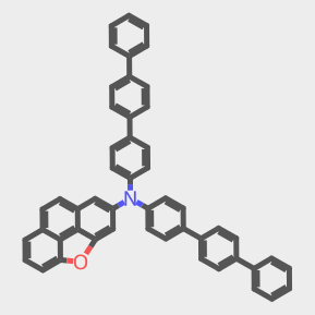 c1ccc(-c2ccc(-c3ccc(N(c4ccc(-c5ccc(-c6ccccc6)cc5)cc4)c4cc5ccc6cccc7oc(c4)c5c67)cc3)cc2)cc1